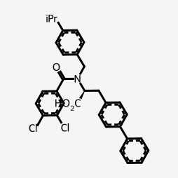 CC(C)c1ccc(CN(C(=O)c2ccc(Cl)c(Cl)c2)[C@@H](Cc2ccc(-c3ccccc3)cc2)C(=O)O)cc1